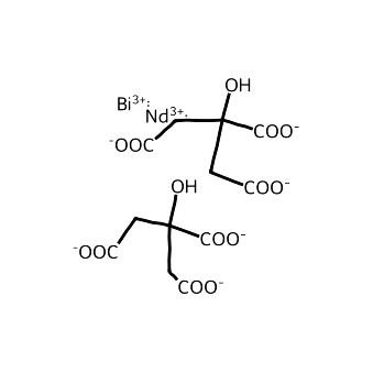 O=C([O-])CC(O)(CC(=O)[O-])C(=O)[O-].O=C([O-])CC(O)(CC(=O)[O-])C(=O)[O-].[Bi+3].[Nd+3]